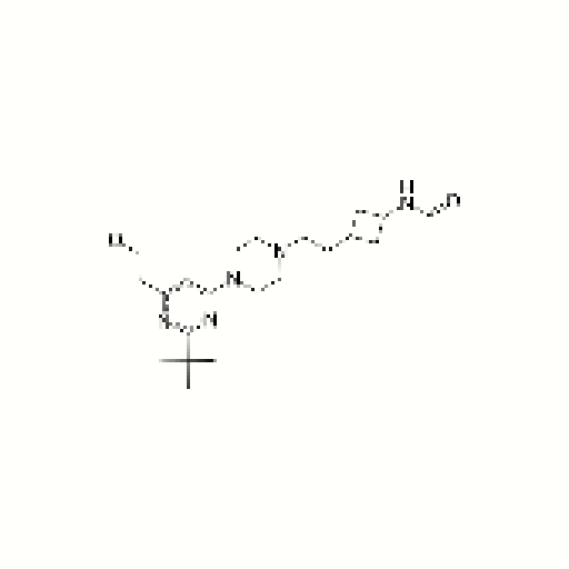 COCCc1cc(N2CCN(CCC3CC(NC=O)C3)CC2)nc(C(C)(C)C)n1